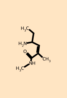 CCC(N)C=C(C)C(=O)NC